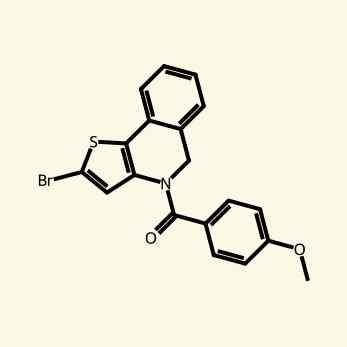 COc1ccc(C(=O)N2Cc3ccccc3-c3sc(Br)cc32)cc1